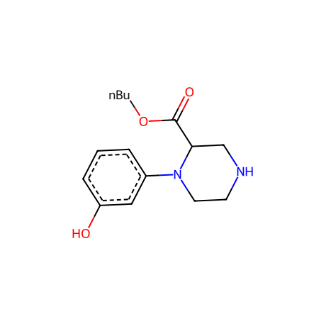 CCCCOC(=O)C1CNCCN1c1cccc(O)c1